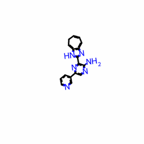 Nc1ncc(-c2cccnc2)nc1-c1nc2c([nH]1)=CCC=CC=2